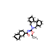 CCOC(=NC(=O)c1ccc2ccccc2c1)N1Cc2ccccc2-c2ccccc2C1